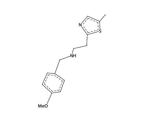 COc1ccc(CNCCc2ncc(C)s2)cc1